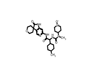 CC1CCC(C(NC(=O)N(C)C2CC[S+]([O-])CC2)C(=O)Nc2cc3c(cn2)C2(CCOCC2)C(=O)N3)CC1